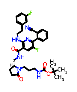 CC(C)(C)OC(=O)NCCCN1C(=O)CC[C@@H]1CNC(=O)c1cc(F)c(-c2ccccc2C#N)nc1NCCc1cccc(F)c1